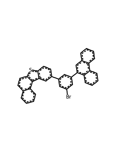 Brc1cc(-c2ccc3sc4ccc5ccccc5c4c3c2)cc(-c2cc3ccccc3c3ccccc23)c1